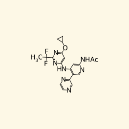 CC(=O)Nc1cc(Nc2cc(OC3CC3)nc(C(C)(F)F)n2)c(-c2cnccn2)cn1